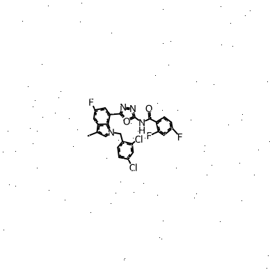 Cc1cn(Cc2ccc(Cl)cc2Cl)c2c(-c3nnc(NC(=O)c4ccc(F)cc4F)o3)cc(F)cc12